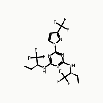 CC[C@H](Nc1nc(N[C@@H](CC)C(F)(F)F)nc(-n2ccc(C(F)(F)F)n2)n1)C(F)(F)F